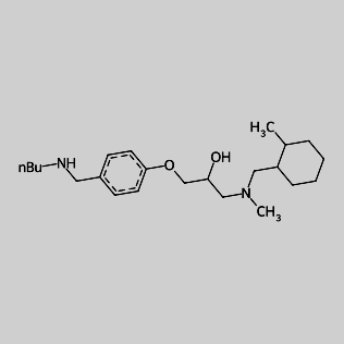 CCCCNCc1ccc(OCC(O)CN(C)CC2CCCCC2C)cc1